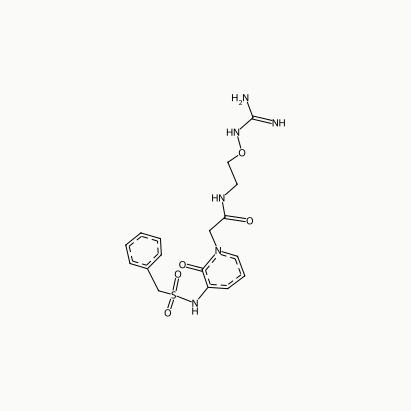 N=C(N)NOCCNC(=O)Cn1cccc(NS(=O)(=O)Cc2ccccc2)c1=O